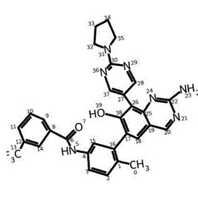 Cc1ccc(NC(=O)c2cccc(C(F)(F)F)c2)cc1-c1cc2cnc(N)nc2c(-c2cnc(N3CCCC3)nc2)c1O